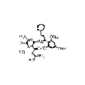 COc1cc(O)c(C(=O)C=Cc2ccccc2)c(OC)c1.Cl.NC(N)=NC(=O)c1nc(Cl)c(N)nc1N